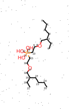 CCCCC(CC)COCCP(O)(O)(O)CCOCC(CC)CCCC